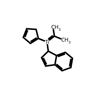 C[C](C)=[Ti]([C]1=CC=CC1)[CH]1C=Cc2ccccc21